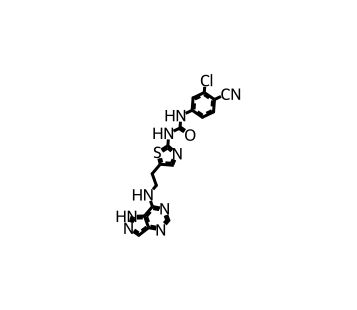 N#Cc1ccc(NC(=O)Nc2ncc(CCNc3ncnc4cn[nH]c34)s2)cc1Cl